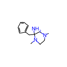 CN1CCN(C)C(N)(Cc2ccccc2)C1